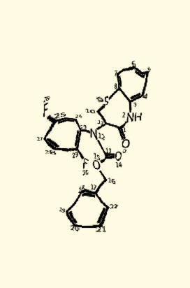 O=C1Nc2ccccc2SCC1N(C(=O)OCc1ccccc1)c1cc(F)ccc1F